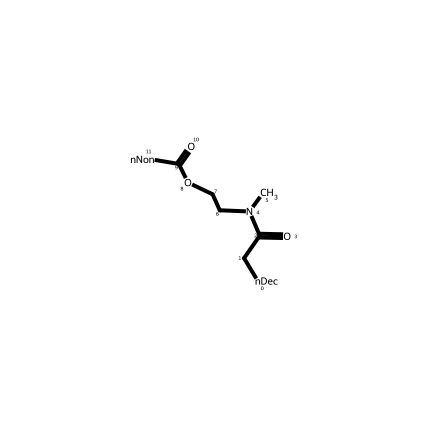 CCCCCCCCCCCC(=O)N(C)CCOC(=O)CCCCCCCCC